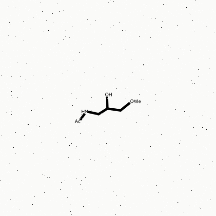 COCC(O)CNC(C)=O